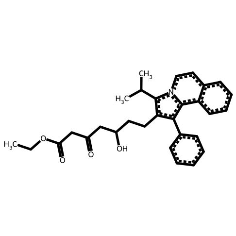 CCOC(=O)CC(=O)CC(O)CCc1c(-c2ccccc2)c2c3ccccc3ccn2c1C(C)C